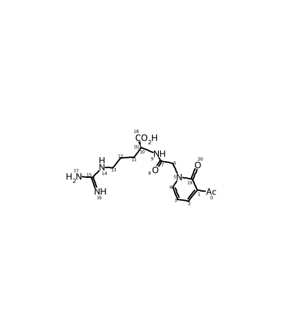 CC(=O)c1cccn(CC(=O)N[C@@H](CCCNC(=N)N)C(=O)O)c1=O